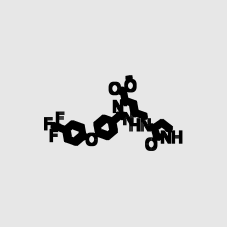 COC(=O)c1cc(CNC2CCNC2=O)nc(-c2ccc(Oc3ccc(C(F)(F)F)cc3)cc2)n1